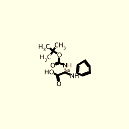 CC(C)(C)OC(=O)N[C@H](Nc1ccccc1)C(=O)O